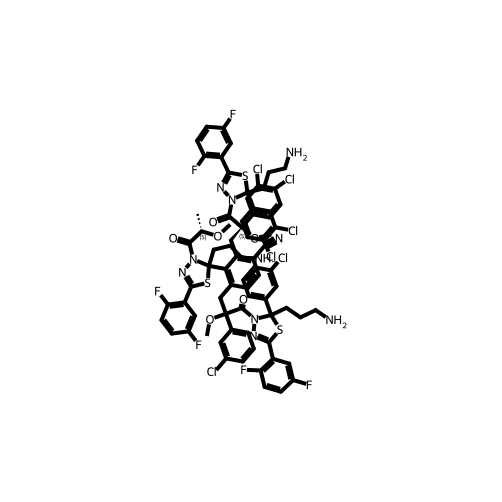 CO[C@@H](C)C(=O)N1N=C(c2cc(F)ccc2F)SC1(CCCN)c1c(CC(OC)(C(=O)N2N=C(c3cc(F)ccc3F)SC2(CCCN)c2cccc(Cl)c2)c2cccc(Cl)c2)ccc(C#N)c1C[C@@](OC)(C(=O)N1N=C(c2cc(F)ccc2F)SC1(CCCN)c1ccc(Cl)c(Cl)c1)c1ccc(Cl)c(Cl)c1